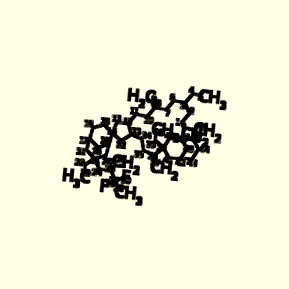 C=CCC(CC)CCC(=C)CCC1CC2(CCC3CC2CC(CC)(CC(=C)C(C)(F)F)C3)CC1CCC(=C)C1(CC)CC2CCC(=C)C(C2)C1